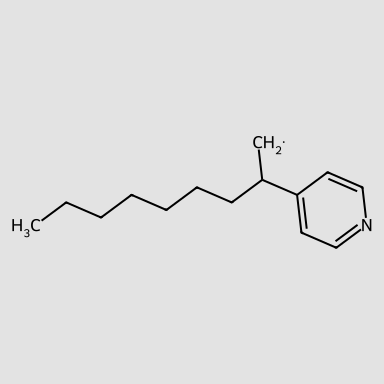 [CH2]C(CCCCCCC)c1ccncc1